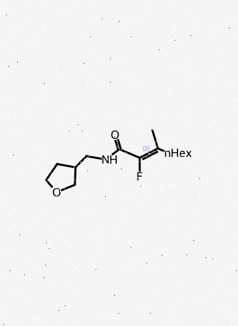 CCCCCC/C(C)=C(\F)C(=O)NCC1CCOC1